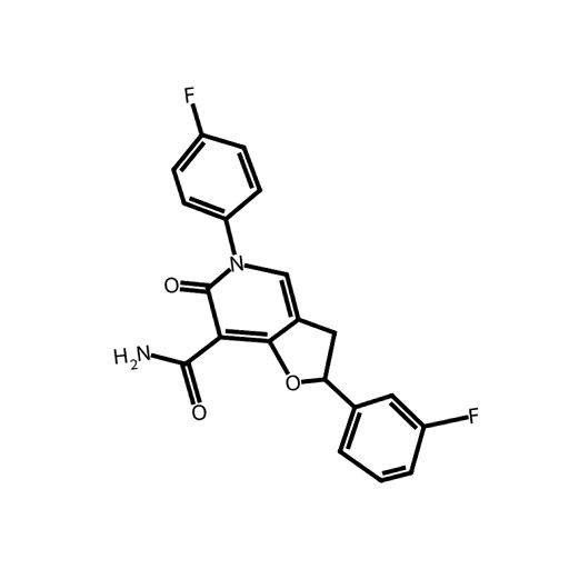 NC(=O)c1c2c(cn(-c3ccc(F)cc3)c1=O)CC(c1cccc(F)c1)O2